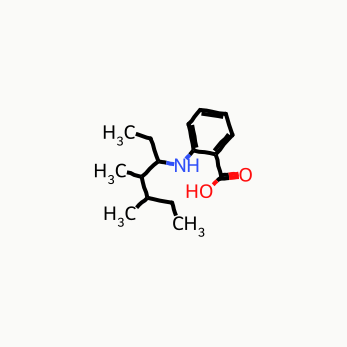 CCC(C)C(C)C(CC)Nc1ccccc1C(=O)O